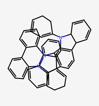 C1=CCCC(N2c3c(ccc4c3N(c3ccccc3-c3ccccc3-n3c5c(c6ccccc63)=CCCC=5)C3C=CC=CC43)C3C=CC=CC32)=C1